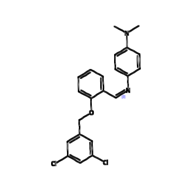 CN(C)c1ccc(/N=C\c2ccccc2OCc2cc(Cl)cc(Cl)c2)cc1